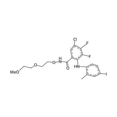 COCCOCCONC(=O)c1cc(Cl)c(F)c(F)c1Nc1ccc(I)cc1C